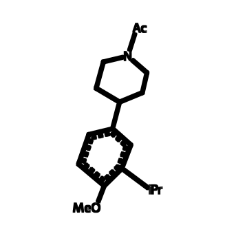 COc1ccc(C2CCN(C(C)=O)CC2)cc1C(C)C